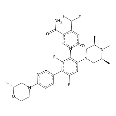 C[C@@H]1CN(c2ccc(-c3c(F)cc(N4C[C@@H](C)N(C)[C@@H](C)C4)c(-n4cc(C(N)=O)c(C(F)F)cc4=O)c3F)cn2)CCO1